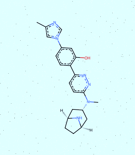 Cc1cn(-c2ccc(-c3ccc(N(C)[C@@H]4C[C@H]5CC[C@@H](C4)N5)nn3)c(O)c2)cn1